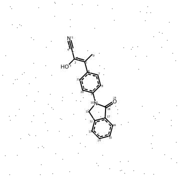 CC(=C(O)C#N)c1ccc(N2Cc3ccccc3C2=O)cc1